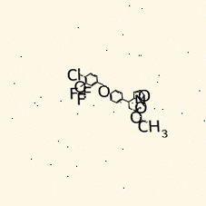 CCOC(=O)C[C@@H](c1ccc(OCc2ccc(Cl)c(OC(F)(F)F)c2)cc1)c1ccon1